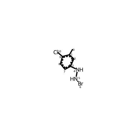 Cc1cc(NNBr)ccc1Cl